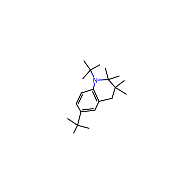 CC(C)(C)c1ccc2c(c1)CC(C)(C)C(C)(C)N2C(C)(C)C